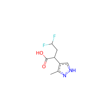 Cc1n[nH]cc1C(CC(F)F)C(=O)O